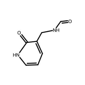 O=CNCc1ccc[nH]c1=O